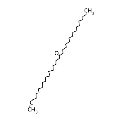 CCCCCCCCCCCCCCCCCCCC(=O)CCCCCCCCCCCCCCCC